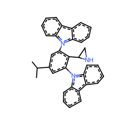 CC(C)c1cc(-n2c3ccccc3c3ccccc32)c(C2CN2)c(-n2c3ccccc3c3ccccc32)c1